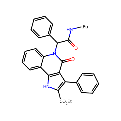 CCOC(=O)c1[nH]c2c(c1-c1ccccc1)c(=O)n(C(C(=O)NC(C)(C)C)c1ccccc1)c1ccccc21